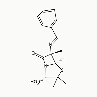 CC1(C)S[C@H]2N(C(=O)[C@]2(C)N=Cc2ccccc2)[C@H]1C(=O)O